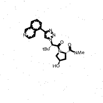 CNC(=O)[C@@H]1C[C@@H](O)CN1C(=O)[C@@H](n1cc(-c2cccc3cnccc23)nn1)C(C)(C)C